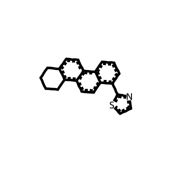 c1cc(-c2nccs2)c2ccc3c4c(ccc3c2c1)CCCC4